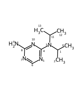 CC(C)N(c1ncnc(N)n1)C(C)C